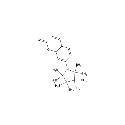 BC1(B)N(c2ccc3c(C)cc(=O)oc3c2)C(B)(B)C(B)(B)C1(B)B